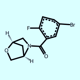 O=C(c1cc(Br)ccc1F)N1C[C@H]2C[C@@H]1CO2